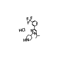 CC(C)n1cc(-c2cccc(C(F)(F)F)c2)nc1C1CCNCC1.Cl